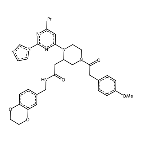 COc1ccc(CC(=O)N2CCN(c3cc(C(C)C)nc(-n4ccnc4)n3)C(CC(=O)NCc3ccc4c(c3)OCCO4)C2)cc1